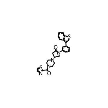 O=C(c1nccs1)N1CCN(C2CC(=O)N(c3cccc(-c4csc5ccccc45)c3)C2)CC1